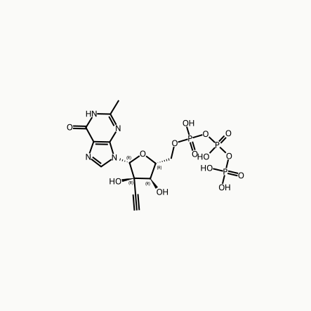 C#C[C@@]1(O)[C@H](O)[C@@H](COP(=O)(O)OP(=O)(O)OP(=O)(O)O)O[C@H]1n1cnc2c(=O)[nH]c(C)nc21